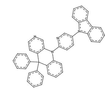 c1ccc(C2(c3ccccc3)c3ccccc3N(c3ccc(-n4c5ccccc5c5ccccc54)cn3)c3cnccc32)cc1